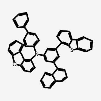 c1ccc(-c2ccc(N(c3cc(-c4cccc5ccccc45)cc(-c4cccc5c4sc4ccccc45)c3)c3cccc4oc5ccccc5c34)cc2)cc1